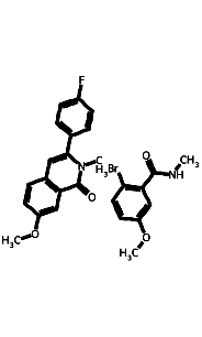 CNC(=O)c1cc(OC)ccc1Br.COc1ccc2cc(-c3ccc(F)cc3)n(C)c(=O)c2c1